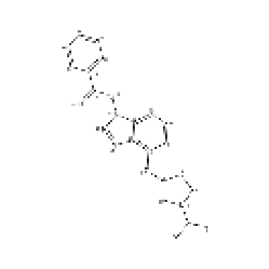 CC(C)N1CCC(Oc2cccc3c2nnn3OC(=O)c2ccccc2)C1